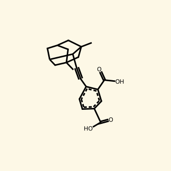 CC12CC3CC(C1)C(C#Cc1ccc(C(=O)O)cc1C(=O)O)C(C)(C3)C2